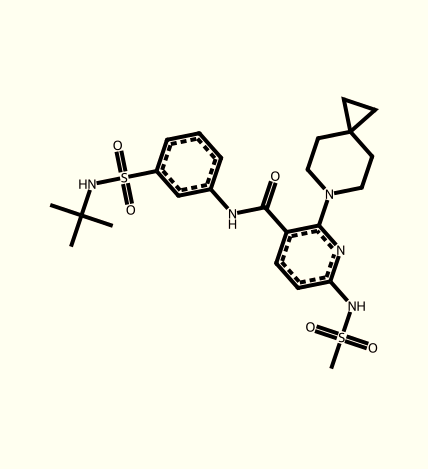 CC(C)(C)NS(=O)(=O)c1cccc(NC(=O)c2ccc(NS(C)(=O)=O)nc2N2CCC3(CC2)CC3)c1